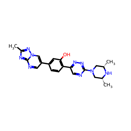 Cc1nc2ncc(-c3ccc(-c4cnc(N5C[C@@H](C)N[C@@H](C)C5)nn4)c(O)c3)cn2n1